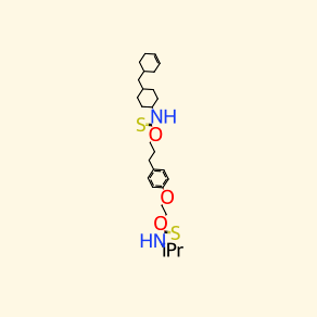 CC(C)NC(=S)OCCOc1ccc(CCCOC(=S)NC2CCC(CC3CC=CCC3)CC2)cc1